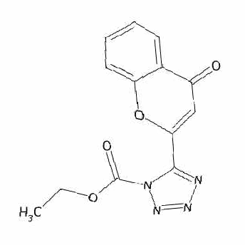 CCOC(=O)n1nnnc1-c1cc(=O)c2ccccc2o1